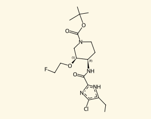 CCc1[nH]c(C(=O)N[C@@H]2CCN(C(=O)OC(C)(C)C)C[C@@H]2OCCF)nc1Cl